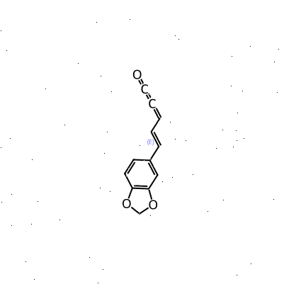 O=C=C=C/C=C/c1ccc2c(c1)OCO2